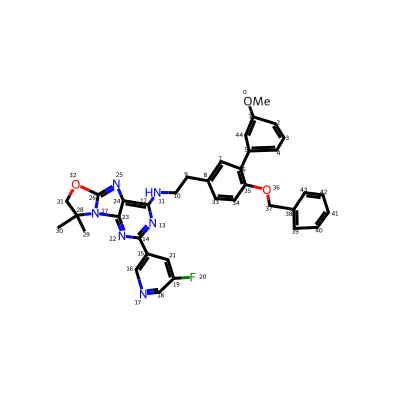 COc1cccc(-c2cc(CCNc3nc(-c4cncc(F)c4)nc4c3nc3n4C(C)(C)CO3)ccc2OCc2ccccc2)c1